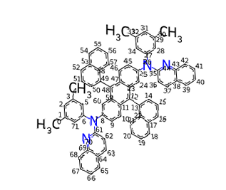 Cc1cc(C)cc(N(c2ccc3c(-c4cccc5ccccc45)c4cc(N(c5cc(C)cc(C)c5)c5ccc6ccccc6n5)ccc4c(-c4cccc5ccccc45)c3c2)c2ccc3ccccc3n2)c1